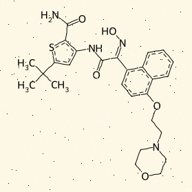 CC(C)(C)c1cc(NC(=O)C(=NO)c2ccc(OCCN3CCOCC3)c3ccccc23)c(C(N)=O)s1